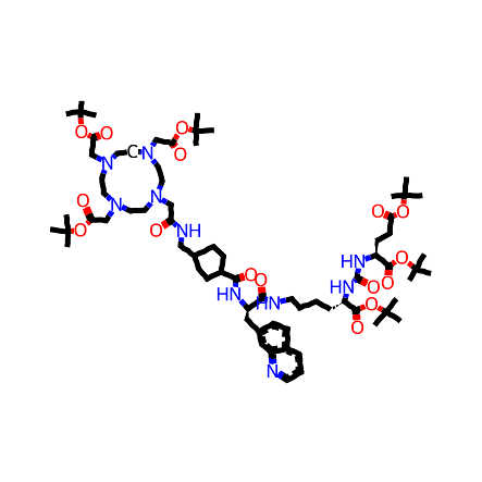 CC(C)(C)OC(=O)CC[C@H](NC(=O)N[C@@H](CCCCNC(=O)[C@@H](Cc1ccc2cccnc2c1)NC(=O)C1CCC(CNC(=O)CN2CCN(CC(=O)OC(C)(C)C)CCN(CC(=O)OC(C)(C)C)CCN(CC(=O)OC(C)(C)C)CC2)CC1)C(=O)OC(C)(C)C)C(=O)OC(C)(C)C